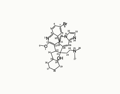 COc1nc2ccc(Br)cc2cc1C(CC1CCCCC1)C(O)(CCN(C)C)c1ccn2ccnc2c1